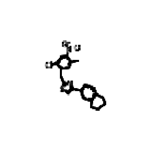 Cc1cc(Cc2nc(-c3ccc4c(c3)CCCC4)cs2)c(Cl)cc1[N+](=O)[O-]